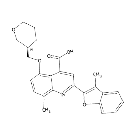 Cc1c(-c2cc(C(=O)O)c3c(OC[C@@H]4CCCOC4)ccc(C)c3n2)oc2ccccc12